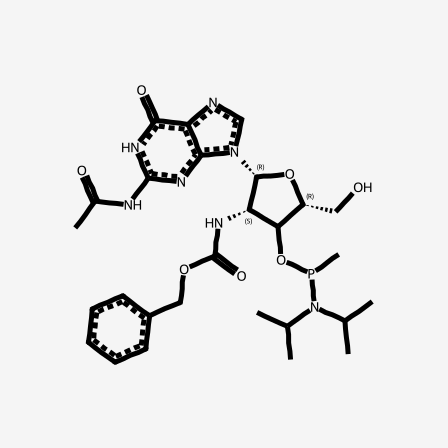 CC(=O)Nc1nc2c(ncn2[C@@H]2O[C@H](CO)C(OP(C)N(C(C)C)C(C)C)[C@@H]2NC(=O)OCc2ccccc2)c(=O)[nH]1